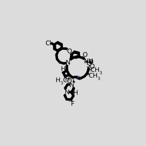 CO[C@]1(CN2CCN3CC[C@H](F)C[C@H]3C2)/C=C/C[C@H](C)[C@@H](C)S(=O)(=O)NC(=O)c2ccc3c(c2)N(CCCCc2cc(Cl)ccc2CO3)C[C@@H]2CC[C@H]21